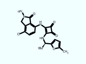 CCCN1Cc2c(Cl)ccc(Nc3c(N[C@@H](c4ccc(C)o4)C(C)(C)C)c(=O)c3=O)c2C1=O